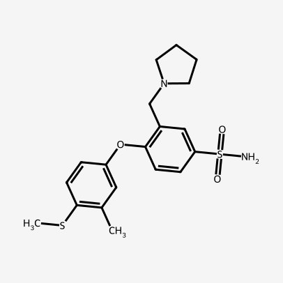 CSc1ccc(Oc2ccc(S(N)(=O)=O)cc2CN2CCCC2)cc1C